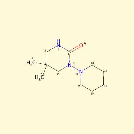 CC1(C)CNC(=O)N(N2CCCCC2)C1